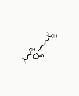 CC(C)C/C=C(/O)[C@H]1CCC(=O)[C@H]1CC=CCCCC(=O)O